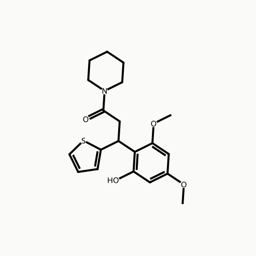 COc1cc(O)c(C(CC(=O)N2CCCCC2)c2cccs2)c(OC)c1